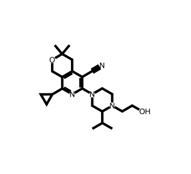 CC(C)C1CN(c2nc(C3CC3)c3c(c2C#N)CC(C)(C)OC3)CCN1CCO